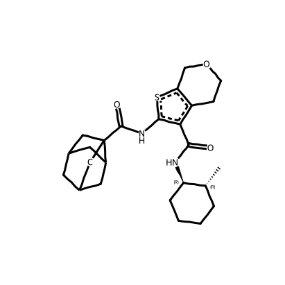 C[C@@H]1CCCC[C@H]1NC(=O)c1c(NC(=O)C23CC4CC(CC2C4)C3)sc2c1CCOC2